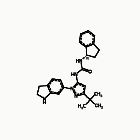 CC(C)(C)c1cc(NC(=O)N[C@H]2CCc3ccccc32)n(-c2ccc3c(c2)NCC3)n1